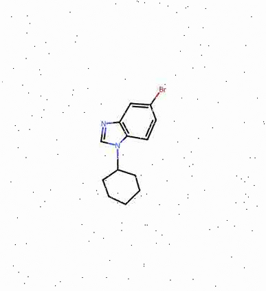 Brc1ccc2c(c1)ncn2C1CCCCC1